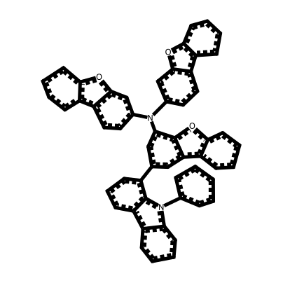 c1ccc(-n2c3ccccc3c3cccc(-c4cc(N(c5ccc6c(c5)oc5ccccc56)c5ccc6c(c5)oc5ccccc56)c5oc6ccccc6c5c4)c32)cc1